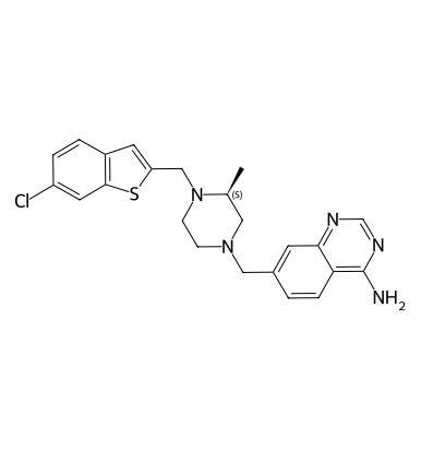 C[C@H]1CN(Cc2ccc3c(N)ncnc3c2)CCN1Cc1cc2ccc(Cl)cc2s1